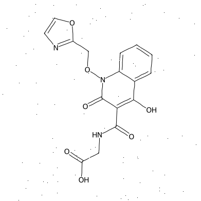 O=C(O)CNC(=O)c1c(O)c2ccccc2n(OCc2ncco2)c1=O